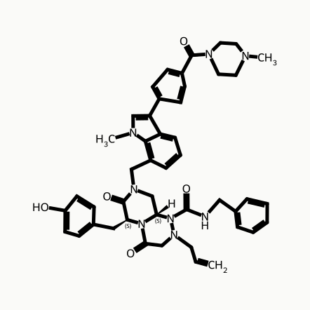 C=CCN1CC(=O)N2[C@@H](Cc3ccc(O)cc3)C(=O)N(Cc3cccc4c(-c5ccc(C(=O)N6CCN(C)CC6)cc5)cn(C)c34)C[C@@H]2N1C(=O)NCc1ccccc1